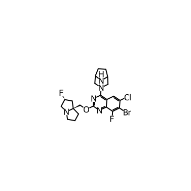 Fc1c(Br)c(Cl)cc2c(N3CC4CCC(C3)N4)nc(OC[C@@]34CCCN3C[C@H](F)C4)nc12